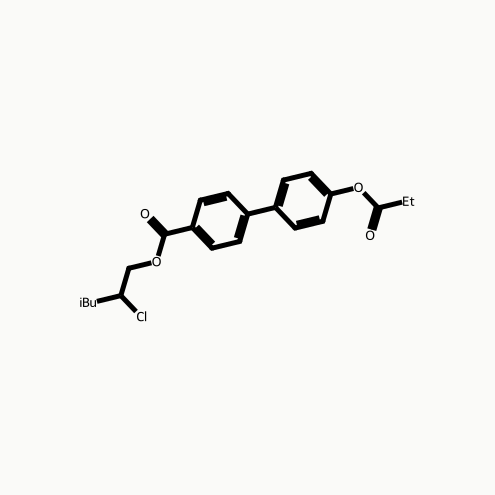 CCC(=O)Oc1ccc(-c2ccc(C(=O)OCC(Cl)C(C)CC)cc2)cc1